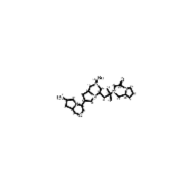 CC(C)(C)C1CC2COCC(C3CC4CN(C(C)(C)C)CC(CC(C)(C)N5CC(=O)N6CCCC6C5)N4C3)N2C1